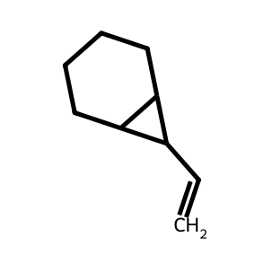 C=CC1C2CCCCC12